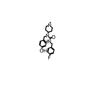 CN1CCC(N(Cc2ccc(O)cc2)C(=O)NCc2ccc(F)cc2)CC1